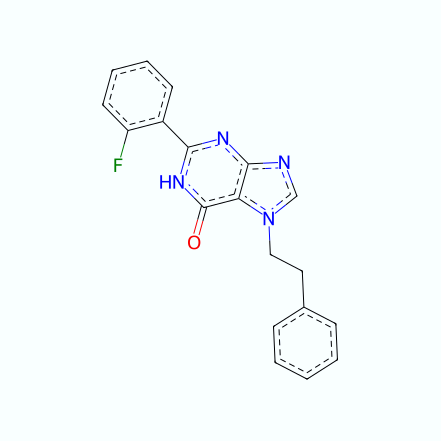 O=c1[nH]c(-c2ccccc2F)nc2ncn(CCc3ccccc3)c12